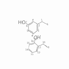 CCc1cccc(O)c1.CCc1ccccc1O